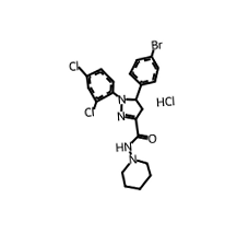 Cl.O=C(NN1CCCCC1)C1=NN(c2ccc(Cl)cc2Cl)C(c2ccc(Br)cc2)C1